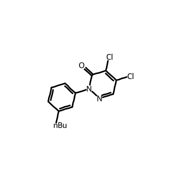 CCCCc1cccc(-n2ncc(Cl)c(Cl)c2=O)c1